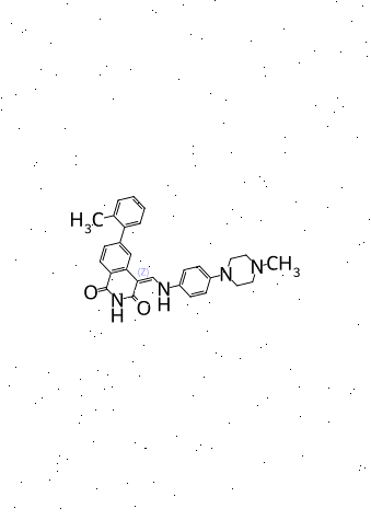 Cc1ccccc1-c1ccc2c(c1)/C(=C/Nc1ccc(N3CCN(C)CC3)cc1)C(=O)NC2=O